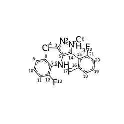 Cn1nc(Cl)c(Nc2ccccc2F)c1-c1c(F)cccc1F